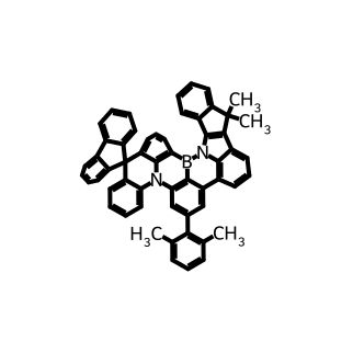 Cc1cccc(C)c1-c1cc2c3c(c1)N1c4ccccc4C4(c5ccccc5-c5ccccc54)c4cccc(c41)B3n1c3c(c4cccc-2c41)C(C)(C)c1ccccc1-3